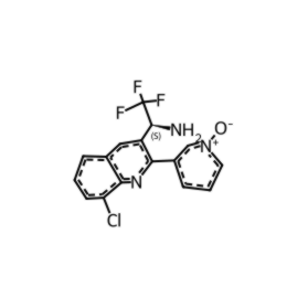 N[C@@H](c1cc2cccc(Cl)c2nc1-c1ccc[n+]([O-])c1)C(F)(F)F